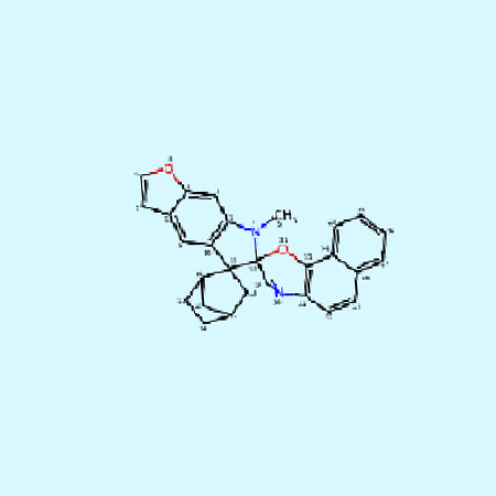 CN1c2cc3occc3cc2C2(CC3CCC2C3)C12C=Nc1ccc3ccccc3c1O2